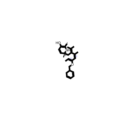 C/C=C(/C=C(/C)C(C[C@]1(C)C=CC(O)=C(I)N1)=C(C)C)OCC1C=CC=CC1